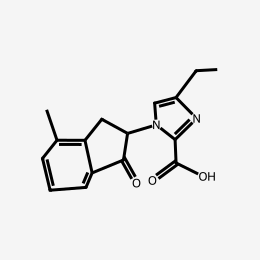 CCc1cn(C2Cc3c(C)cccc3C2=O)c(C(=O)O)n1